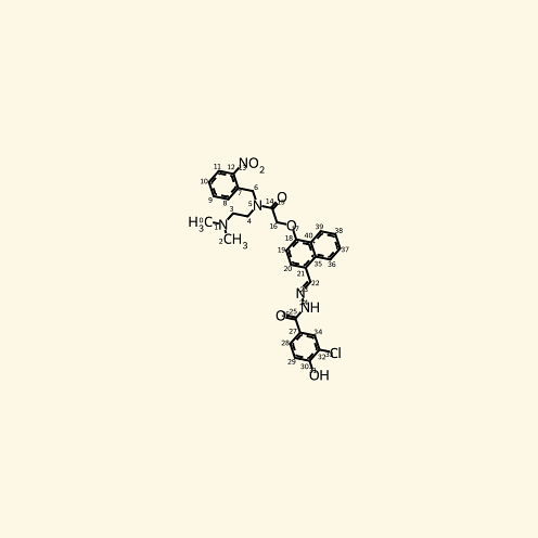 CN(C)CCN(Cc1ccccc1[N+](=O)[O-])C(=O)COc1ccc(/C=N/NC(=O)c2ccc(O)c(Cl)c2)c2ccccc12